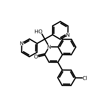 O=c1cc(-c2cccc(Cl)c2)c2ccccc2n1C(O)(c1cccnc1)c1cccnc1